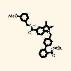 COc1cccc(CNC(=O)c2ccc3c(c2)c(C)c(C)n3Cc2ccc(-c3ccccc3C(=O)OC(C)(C)C)cc2)c1